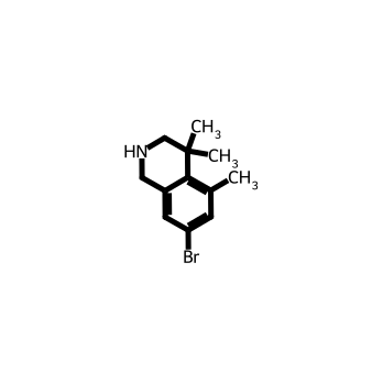 Cc1cc(Br)cc2c1C(C)(C)CNC2